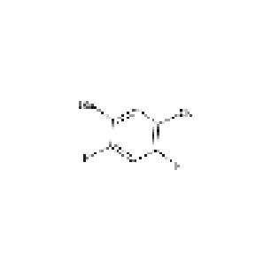 CC(C)(C)c1cc(C#N)c(F)cc1F